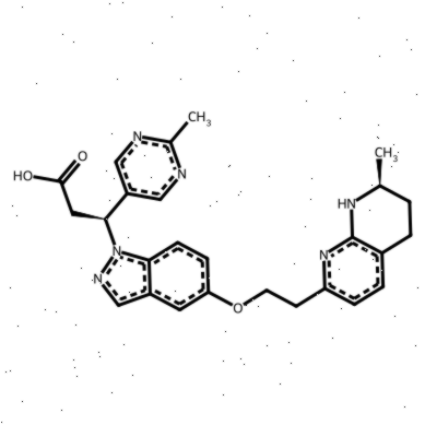 Cc1ncc([C@H](CC(=O)O)n2ncc3cc(OCCc4ccc5c(n4)N[C@@H](C)CC5)ccc32)cn1